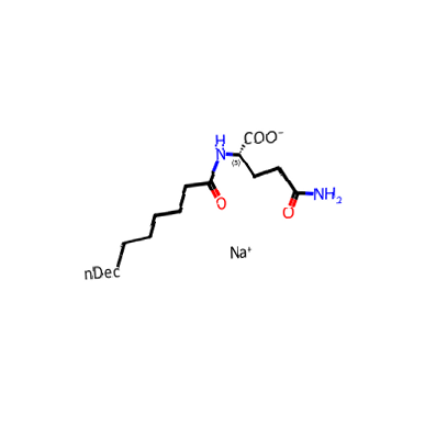 CCCCCCCCCCCCCCCC(=O)N[C@@H](CCC(N)=O)C(=O)[O-].[Na+]